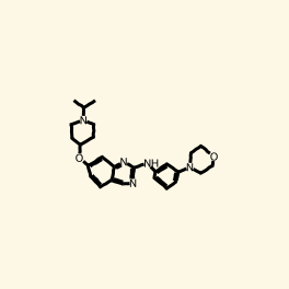 CC(C)N1CCC(Oc2ccc3cnc(Nc4cccc(N5CCOCC5)c4)nc3c2)CC1